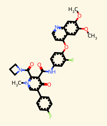 COc1cc2nccc(Oc3ccc(NC(=O)c4c(C(=O)N5CCC5)n(C)cc(-c5ccc(F)cc5)c4=O)cc3F)c2cc1OC